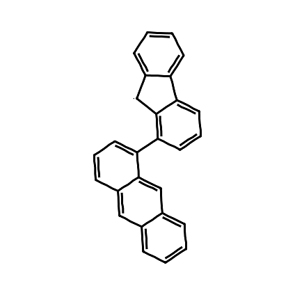 [CH]1c2ccccc2-c2cccc(-c3cccc4cc5ccccc5cc34)c21